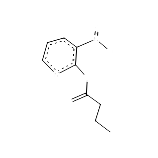 CCCC(=O)Oc1ncccc1[N+](=O)[O-]